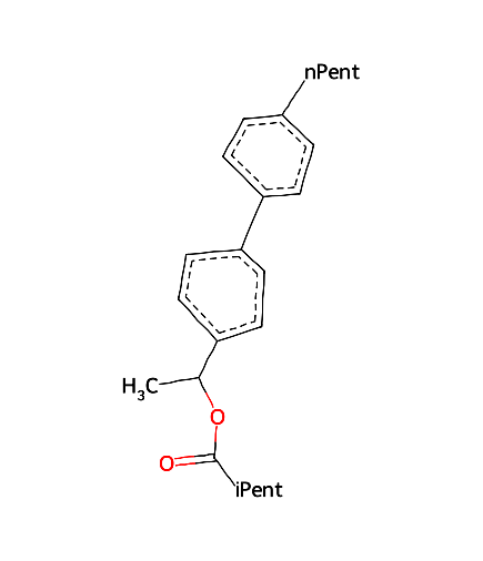 CCCCCc1ccc(-c2ccc(C(C)OC(=O)C(C)CCC)cc2)cc1